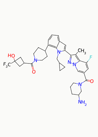 Cc1c(-c2cc3cccc(C4CCN(C(=O)C5CC(O)(C(F)(F)F)C5)CC4)c3n2CC2CC2)nn2cc(C(=O)N3CCCC(N)C3)cc(F)c12